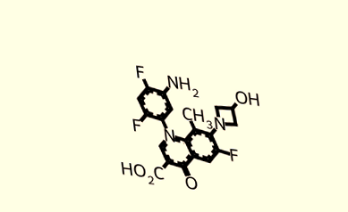 Cc1c(N2CC(O)C2)c(F)cc2c(=O)c(C(=O)O)cn(-c3cc(N)c(F)cc3F)c12